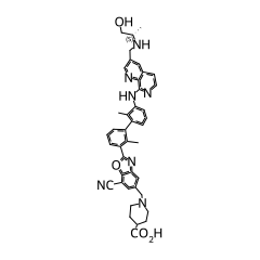 Cc1c(Nc2nccc3cc(CN[C@@H](C)CO)cnc23)cccc1-c1cccc(-c2nc3cc(CN4CCC(C(=O)O)CC4)cc(C#N)c3o2)c1C